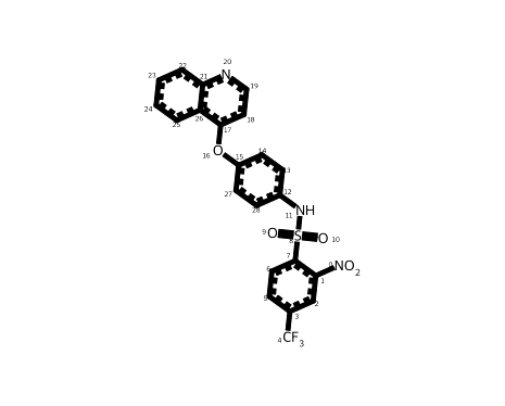 O=[N+]([O-])c1cc(C(F)(F)F)ccc1S(=O)(=O)Nc1ccc(Oc2ccnc3ccccc23)cc1